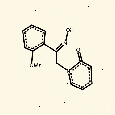 COc1ccccc1/C(Cn1ccccc1=O)=N\O